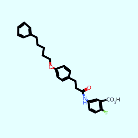 O=C(CCc1ccc(OCCCCCc2ccccc2)cc1)Nc1ccc(F)c(C(=O)O)c1